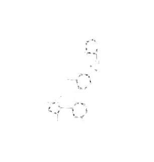 Cn1ncc(F)c1-c1cc(Cl)ccc1Oc1ccc(S(=O)(=O)Nc2nccs2)cc1F